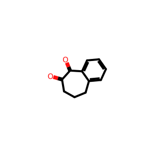 O=C1CCCc2ccccc2C1=O